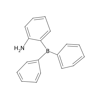 Nc1ccccc1B(c1ccccc1)c1ccccc1